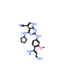 CN/C(=C\C=N)c1ccc(Nc2nc(NC3CCCC3)c3c(C#N)c[nH]c3n2)cc1OC